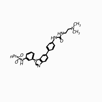 CCCS(=O)(=O)Nc1cccc(-n2cnc3ccc(-c4ccc(NC(=O)NCCN(C)C)cc4)cc32)c1